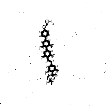 CCOc1ccc(-c2cc(F)c(-c3cc(F)c(CCc4cc(F)c(C(F)(F)OC(F)(F)F)c(F)c4)c(F)c3)c(F)c2)cc1